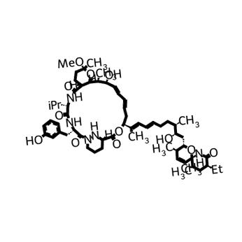 CC[C@H]1C[C@H](C)[C@@]2(NC1=O)O[C@@H](C[C@H](O)[C@@H](C)CC/C=C/C=C(\C)[C@@H]1C/C=C/C=C/[C@H](O)[C@H](C)[C@H]3O[C@](C)(OC)CC[C@H]3C(=O)N[C@@H](C(C)C)C(=O)N[C@@H](Cc3cccc(O)c3)C(=O)N3CCC[C@H](N3)C(=O)O1)[C@H](C)C=C2C